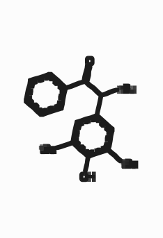 CCCCC(C(=O)c1ccccc1)c1cc(C(C)(C)C)c(O)c(C(C)(C)C)c1